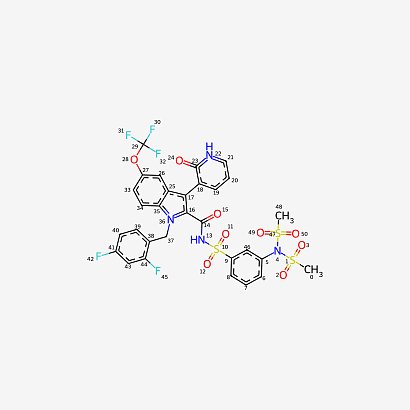 CS(=O)(=O)N(c1cccc(S(=O)(=O)NC(=O)c2c(-c3ccc[nH]c3=O)c3cc(OC(F)(F)F)ccc3n2Cc2ccc(F)cc2F)c1)S(C)(=O)=O